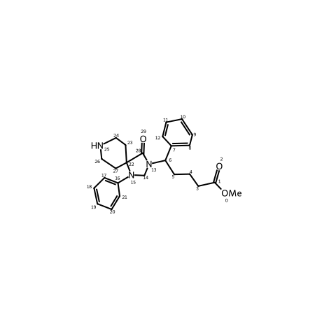 COC(=O)CCCC(c1ccccc1)N1CN(c2ccccc2)C2(CCNCC2)C1=O